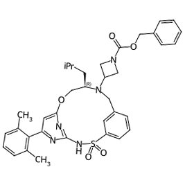 Cc1cccc(C)c1-c1cc2nc(n1)NS(=O)(=O)c1cccc(c1)CN(C1CN(C(=O)OCc3ccccc3)C1)[C@H](CC(C)C)CO2